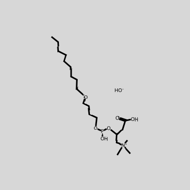 CCCCCCCCCOCCCCO[P@](O)OC(CC(=O)O)C[N+](C)(C)C.[OH-]